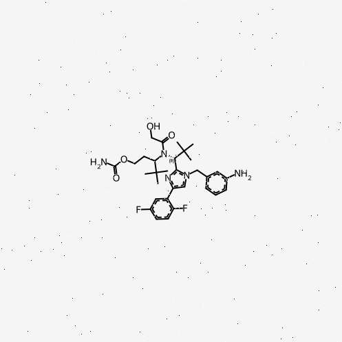 CC(C)(C)C(CCOC(N)=O)N(C(=O)CO)[C@@H](c1nc(-c2cc(F)ccc2F)cn1Cc1cccc(N)c1)C(C)(C)C